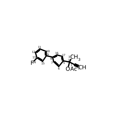 C#CC(C)(OC(C)=O)c1ccc(-c2cccc(F)c2)cc1